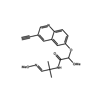 C#Cc1cnc2ccc(OC(OC)C(=O)NC(C)(C)C=NOC)cc2c1